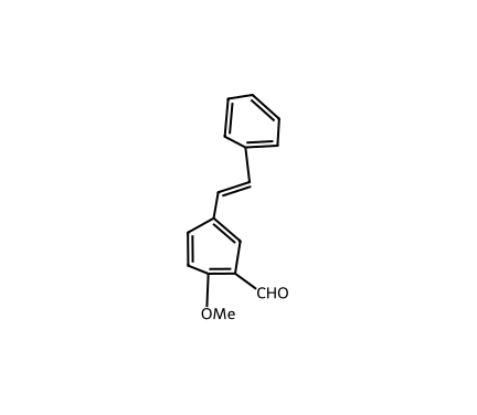 COc1ccc(C=Cc2ccccc2)cc1C=O